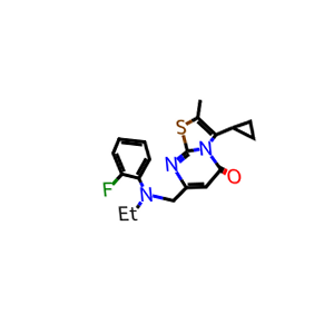 CCN(Cc1cc(=O)n2c(C3CC3)c(C)sc2n1)c1ccccc1F